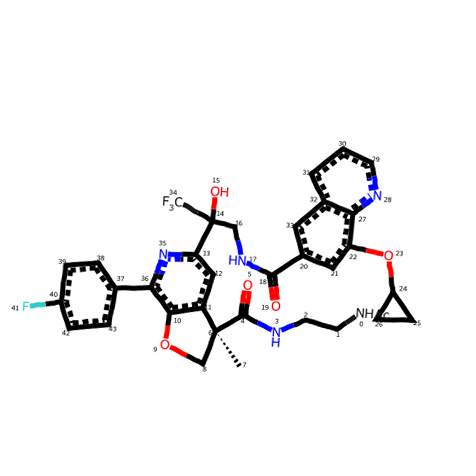 CC(=O)NCCNC(=O)[C@@]1(C)COc2c1cc(C(O)(CNC(=O)c1cc(OC3CC3)c3ncccc3c1)C(F)(F)F)nc2-c1ccc(F)cc1